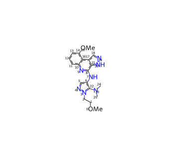 COCCn1ncc(Nc2nc3cccc(OC)c3c3cn[nH]c23)c1N(C)C